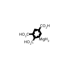 O=C(O)c1ccc(C(=O)O)c(C(=O)O)c1.[MgH2]